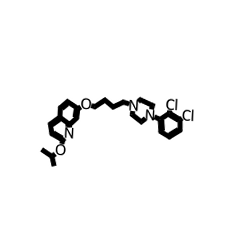 CC(C)Oc1ccc2ccc(OCCCCN3CCN(c4cccc(Cl)c4Cl)CC3)cc2n1